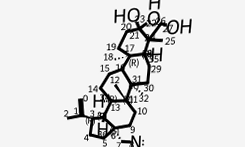 C=C(C)[C@@H]1CC[C@]2(C[N])CC[C@]3(C)[C@H](CCC4[C@@]5(C)CCC(O)(O)C(C)(CO)[C@@H]5CC[C@]43C)[C@@H]12